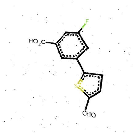 O=Cc1ccc(-c2cc(F)cc(C(=O)O)c2)s1